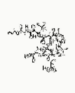 C=CCOC(=O)CNC(=O)C(=O)[C@H](CC(C)C)NC(=O)CNC(=O)[C@@H](NC(=O)[C@@H](NC(=O)[C@H](CCC(=O)O)NC(=O)[C@H](CCC(=O)O)NC(C)=O)C(C)C)C(C)C